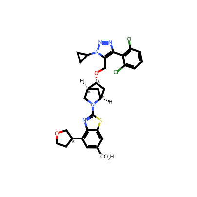 O=C(O)c1cc([C@H]2CCOC2)c2nc(N3C[C@@H]4C[C@H]3C[C@H]4OCc3c(-c4c(Cl)cccc4Cl)nnn3C3CC3)sc2c1